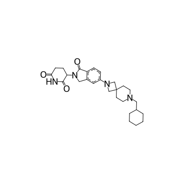 O=C1CCC(N2Cc3cc(N4CC5(CCN(CC6CCCCC6)CC5)C4)ccc3C2=O)C(=O)N1